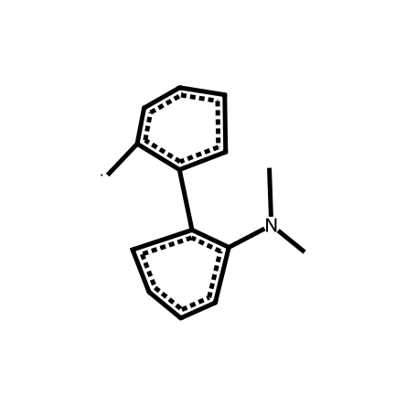 [CH2]c1ccccc1-c1ccccc1N(C)C